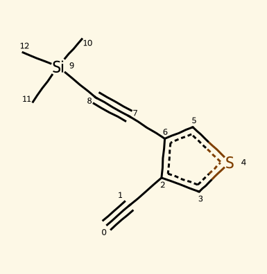 C#Cc1cscc1C#C[Si](C)(C)C